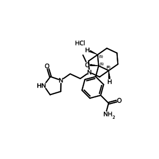 CO[C@]1(c2cccc(C(N)=O)c2)[C@@H]2CCC[C@H]1CN(CCN1CCNC1=O)C2.Cl